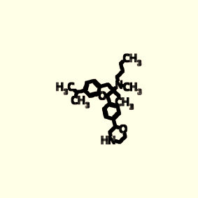 CCCCN(C)C(CC)(Cc1ccc(C(C)C)cc1)C(=O)c1ccc(C2CNCCO2)cc1